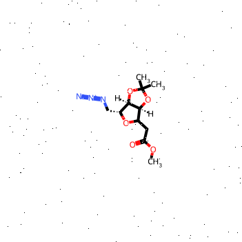 COC(=O)CC1O[C@H](CN=[N+]=[N-])[C@H]2OC(C)(C)O[C@@H]12